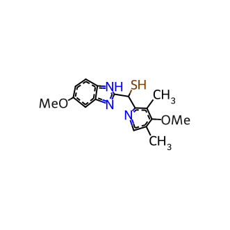 COc1ccc2[nH]c(C(S)c3ncc(C)c(OC)c3C)nc2c1